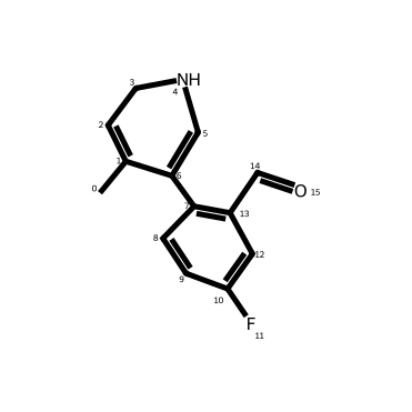 CC1=CCNC=C1c1ccc(F)cc1C=O